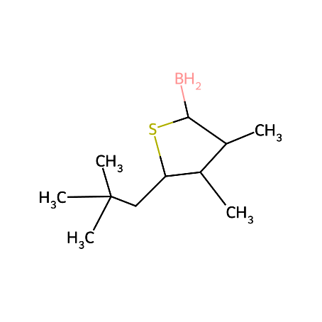 BC1SC(CC(C)(C)C)C(C)C1C